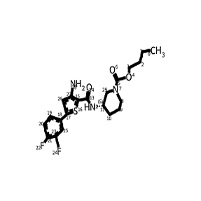 CCCCOC(=O)N1CCC[C@H](NC(=O)c2sc(-c3ccc(F)c(F)c3)cc2N)C1